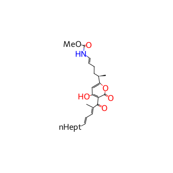 CCCCCCC/C=C/C=C(\C)C(=O)c1c(O)cc([C@H](C)CC/C=C/NC(=O)OC)oc1=O